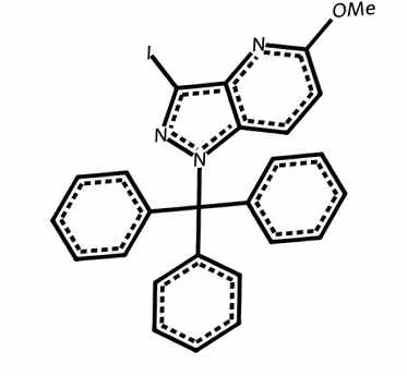 COc1ccc2c(n1)c(I)nn2C(c1ccccc1)(c1ccccc1)c1ccccc1